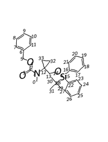 CN(C(=O)OCc1ccccc1)C1(CO[Si](c2ccccc2)(c2ccccc2)C(C)(C)C)CC1